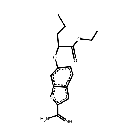 CCCC(Oc1ccc2cc(C(=N)N)sc2c1)C(=O)OCC